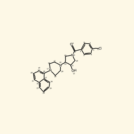 O=C(c1ccc(Cl)cc1)N1CC(O)C(N2CCN(c3nccc4ccccc34)CC2)C1